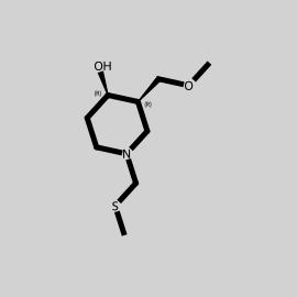 COC[C@H]1CN(CSC)CC[C@H]1O